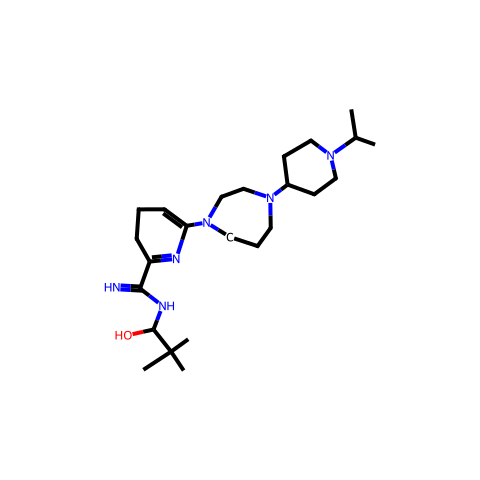 CC(C)N1CCC(N2CCCN(C3=CCCC(C(=N)NC(O)C(C)(C)C)=N3)CC2)CC1